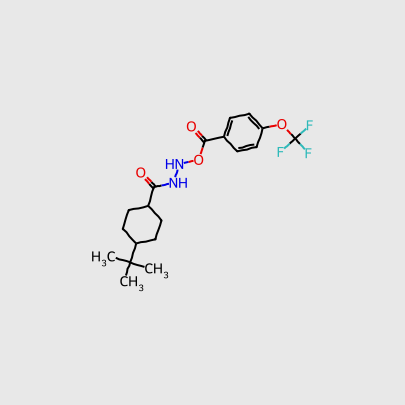 CC(C)(C)C1CCC(C(=O)NNOC(=O)c2ccc(OC(F)(F)F)cc2)CC1